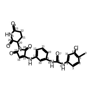 Cc1ccc(NC(=O)Nc2cccc(NC3=CC(=O)N(C4CCC(=O)NC4=O)C3=O)c2)cc1Cl